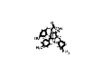 COC(=O)[C@H](Cc1ccc(O)cc1)NC(=O)[C@H](Cc1ccc([N+](=O)[O-])cc1)NC(=O)c1ccc(C)cc1